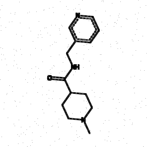 CN1CCC(C(=O)NCc2cccnc2)CC1